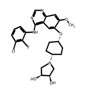 COc1cc2ncnc(Nc3cccc(Cl)c3F)c2cc1O[C@H]1CC[C@@H](N2C[C@@H](O)[C@@H](O)C2)CC1